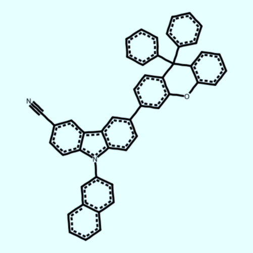 N#Cc1ccc2c(c1)c1cc(-c3ccc4c(c3)Oc3ccccc3C4(c3ccccc3)c3ccccc3)ccc1n2-c1ccc2ccccc2c1